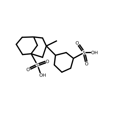 CC1(C2CCCC(S(=O)(=O)O)C2)CC2CCCC(S(=O)(=O)O)(C2)C1